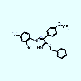 N=C(OCc1ccccc1)/C(=C\Nc1ccc(C(F)(F)F)cc1Br)c1ccc(OC(F)(F)F)cc1